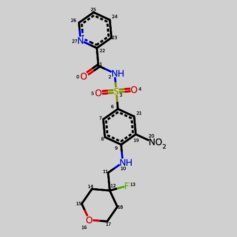 O=C(NS(=O)(=O)c1ccc(NCC2(F)CCOCC2)c([N+](=O)[O-])c1)c1ccccn1